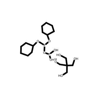 OCC(CO)(CO)CO.OP(O)OP(OC1CCCCC1)OC1CCCCC1